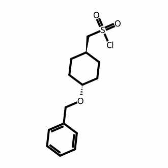 O=S(=O)(Cl)C[C@H]1CC[C@H](OCc2ccccc2)CC1